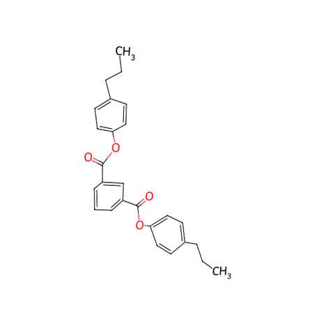 CCCc1ccc(OC(=O)c2cccc(C(=O)Oc3ccc(CCC)cc3)c2)cc1